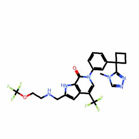 Cn1cnnc1C1(c2cccc(-n3cc(C(F)(F)F)c4cc(CNCCOC(F)(F)F)[nH]c4c3=O)c2)CCC1